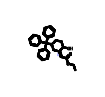 CCOC(=O)/C=C1/CN(C(c2ccccc2)(c2ccccc2)c2ccccc2)CCC1O